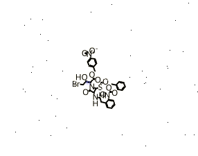 O=CSC1C(NC(=O)Cc2ccccc2NC(=O)OCc2ccccc2)C(=O)N1/C(C(=O)OCc1ccc([N+](=O)[O-])cc1)=C(/O)CBr